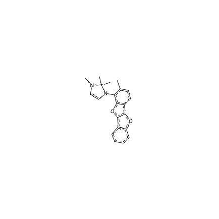 Cc1ccc2c(oc3c4ccccc4oc23)c1N1C=CN(C)C1(C)C